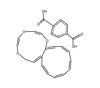 C1=CC=CC=C2OC=COC=COCC=C2C=CC=C1.O=C(O)c1ccc(C(=O)O)cc1